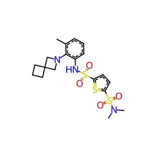 Cc1cccc(NS(=O)(=O)c2ccc(S(=O)(=O)N(C)C)s2)c1N1CC2(CCC2)C1